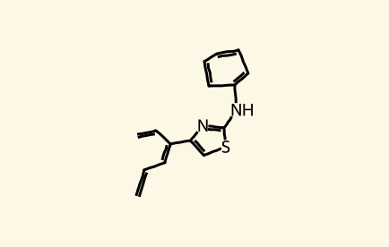 C=C/C=C(\C=C)c1csc(Nc2ccccc2)n1